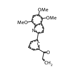 C=CC(=O)c1cccc(-c2ccc3c(OC)c(OC)cc(OC)c3n2)c1